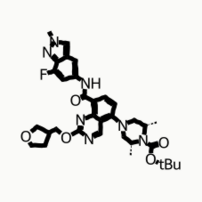 C[C@@H]1CN(c2ccc(C(=O)Nc3cc(F)c4nn(C)cc4c3)c3nc(OCC4CCOC4)ncc23)C[C@H](C)N1C(=O)OC(C)(C)C